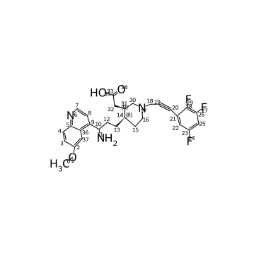 COc1ccc2nccc(C(N)CC[C@@H]3CCN(CC#Cc4cc(F)cc(F)c4F)C[C@@H]3CC(=O)O)c2c1